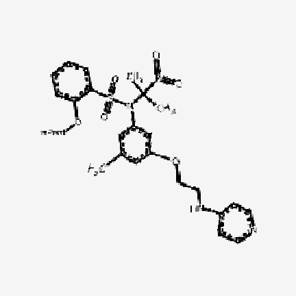 CCCCCOc1ccccc1S(=O)(=O)N(c1cc(C)cc(OCCNc2ccncc2)c1)C(C)(C)P(=O)=O